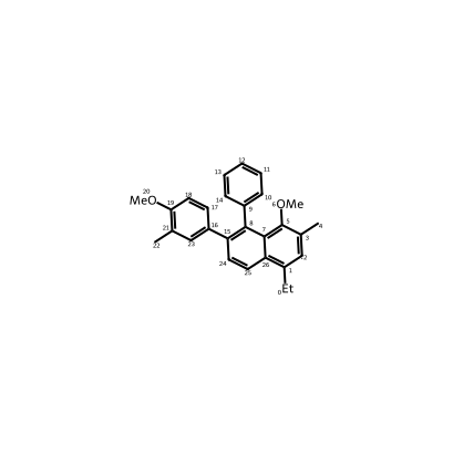 CCc1[c]c(C)c(OC)c2c(-c3ccccc3)c(-c3ccc(OC)c(C)c3)ccc12